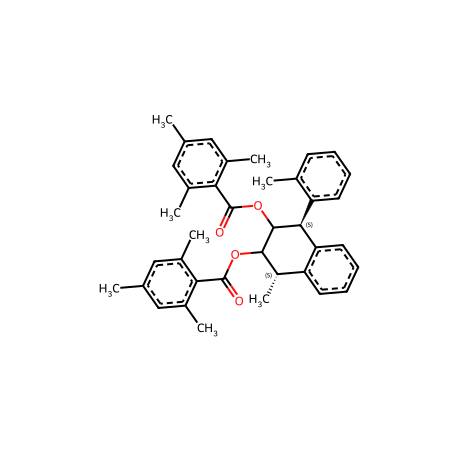 Cc1cc(C)c(C(=O)OC2C(OC(=O)c3c(C)cc(C)cc3C)[C@@H](C)c3ccccc3[C@@H]2c2ccccc2C)c(C)c1